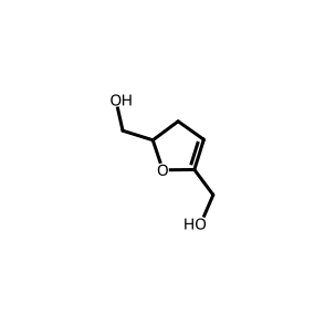 OCC1=CCC(CO)O1